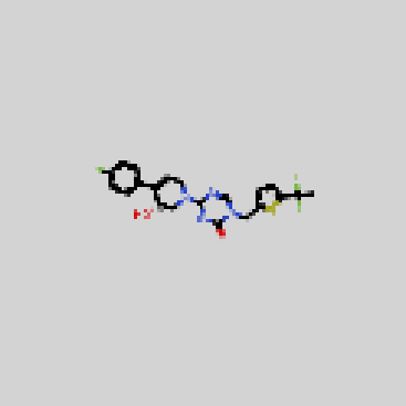 CC(F)(F)c1ccc(CN2C=NC(N3CC=C(c4ccc(F)cc4)[C@@H](O)C3)NC2=O)s1